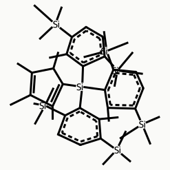 CC1=C(C)C(C)C([Si](c2c([Si](C)(C)C)ccc([Si](C)(C)C)c2C)(c2c([Si](C)(C)C)ccc([Si](C)(C)C)c2C)c2c([Si](C)(C)C)ccc([Si](C)(C)C)c2C)=C1C